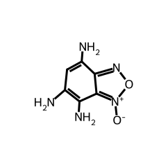 Nc1cc(N)c2no[n+]([O-])c2c1N